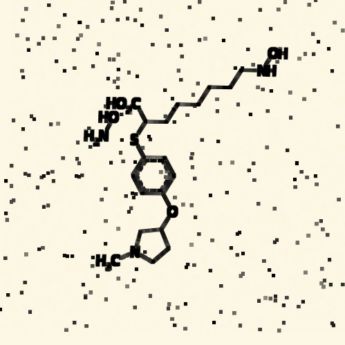 CN1CCC(Oc2ccc(SC(CCCCCCNO)C(=O)O)cc2)C1.NO